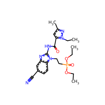 CCOP(=O)(CCn1c(NC(=O)c2cc(C)nn2CC)nc2cc(C#N)ccc21)OCC